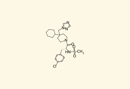 CS(=O)(=O)N[C@H](Cc1ccc(Cl)cc1)C(=O)N1CCC(Cn2cncn2)(C2CCCCC2)CC1